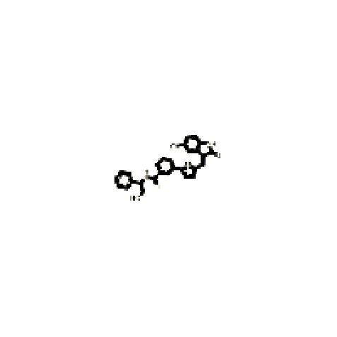 O=C1Nc2ccc(Cl)cc2/C1=C\c1ccc(-c2cccc(C(=O)NC(CO)c3ccccc3)c2)o1